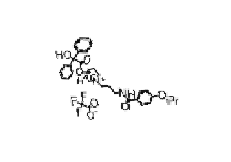 CC(C)Oc1ccc(C(=O)NCCC[N+]23CCC(CC2)[C@@H](OC(=O)C(O)(c2ccccc2)c2ccccc2)C3)cc1.O=C([O-])C(F)(F)F